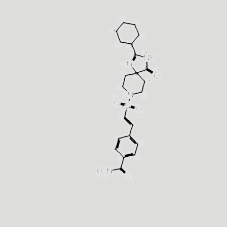 NC(=O)c1ccc(/C=C/S(=O)(=O)N2CCC3(CC2)N=C(C2CCCCC2)NC3=O)cc1